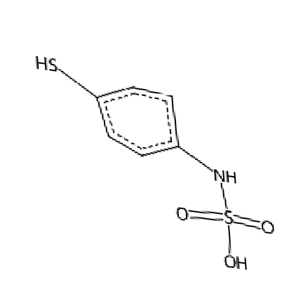 O=S(=O)(O)Nc1ccc(S)cc1